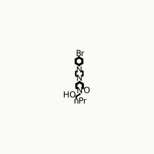 CCCC(O)Cn1ccc(N2CCN(c3ccc(Br)cc3)CC2)cc1=O